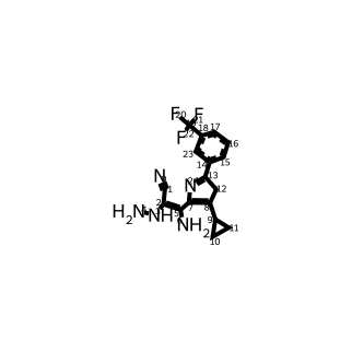 N#C/C(NN)=C(/N)C1=C(C2CC2)CC(c2cccc(C(F)(F)F)c2)=N1